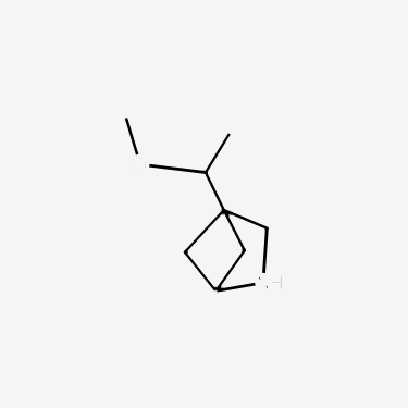 COC(C)C12CNC(C1)C2